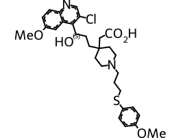 COc1ccc(SCCCN2CCC(CC[C@H](O)c3c(Cl)cnc4ccc(OC)cc34)(CC(=O)O)CC2)cc1